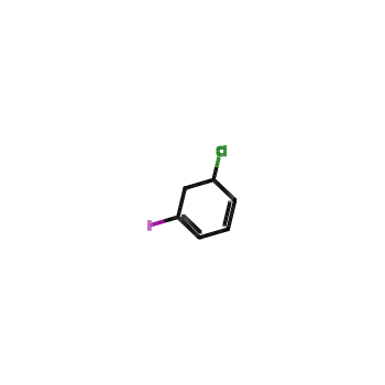 ClC1C=CC=C(I)C1